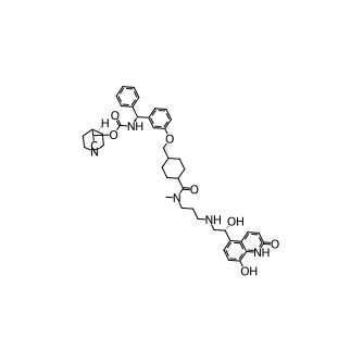 CN(CCCNC[C@H](O)c1ccc(O)c2[nH]c(=O)ccc12)C(=O)C1CCC(COc2cccc([C@@H](NC(=O)O[C@H]3CN4CCC3CC4)c3ccccc3)c2)CC1